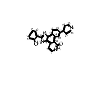 O=c1[nH]ccc2c3[nH]c(-c4ccccc4Cl)nc3c3ccc(-c4ccncc4)cc3c12